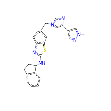 Cn1cc(-c2cn(Cc3ccc4nc(NC5CCc6ccccc65)sc4c3)cn2)cn1